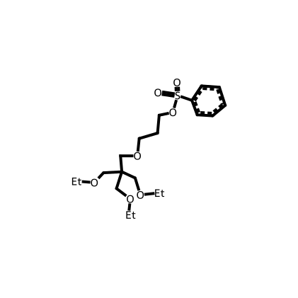 CCOCC(COCC)(COCC)COCCCOS(=O)(=O)c1ccccc1